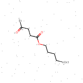 CCCCCCCCCCCCOC(=O)CCC(=O)CC